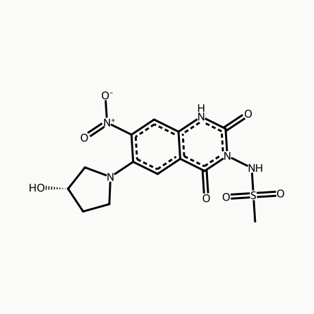 CS(=O)(=O)Nn1c(=O)[nH]c2cc([N+](=O)[O-])c(N3CC[C@H](O)C3)cc2c1=O